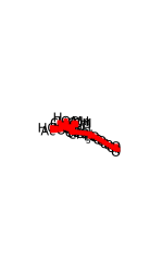 COc1ccc2c(OS(=O)(=O)Oc3cc(C(=O)N(C)CCOCCOCCOCCn4cc(CCOCCOCCOCCOCCOCCOCCN5C(=O)C=CC5=O)nn4)ccc3O[C@@H]3O[C@H](CO)[C@H](O)[C@H](O)C3O)cc3c(c2c1)[C@H](CCl)CN3C(=O)c1cc2cc(C(C)=O)c(O)cc2[nH]1